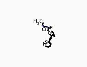 C=C/C=C(Cl)\C=C(\F)CN1CC2CC2(C#CC2=CC=CC=NS2)C1